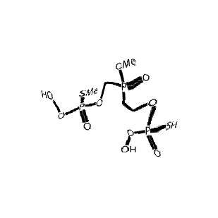 COP(=O)(COP(=O)(S)OO)COP(=O)(OO)SC